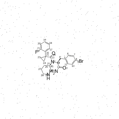 NC(=O)[C@H](Cc1ccc(Br)cc1)N(C(=O)C1(c2ccccc2F)CC1)[C@@H]1CCCNC1